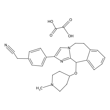 CN1CCC(OC2c3ccccc3CCn3cc(-c4ccc(CC#N)cc4)nc32)CC1.O=C(O)C(=O)O